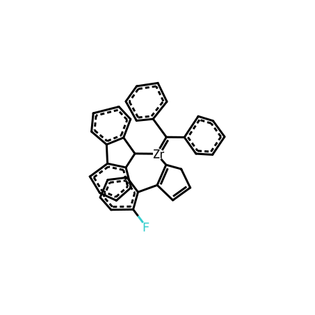 Fc1ccccc1C1=[C]([Zr](=[C](c2ccccc2)c2ccccc2)[CH]2c3ccccc3-c3ccccc32)CC=C1